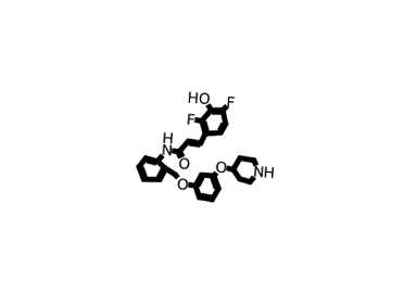 O=C(/C=C/c1ccc(F)c(O)c1F)Nc1ccccc1COc1cccc(OC2CCNCC2)c1